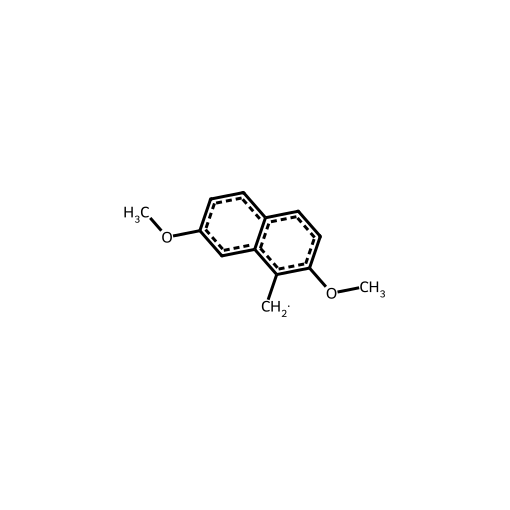 [CH2]c1c(OC)ccc2ccc(OC)cc12